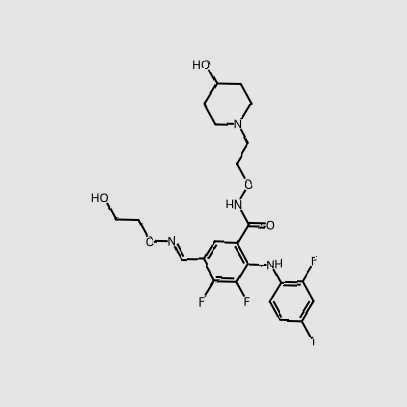 O=C(NOCCN1CCC(O)CC1)c1cc(C=NOCCO)c(F)c(F)c1Nc1ccc(I)cc1F